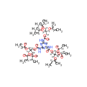 C=CC(=C)OCC(COC(=C)C=C)(COC(=C)C=C)COC(=O)Nc1nc(NC(=O)OCC(COC(=C)C=C)(COC(=O)C=C)COC(=O)C=C)nc(NC(=O)OCC(COC(=O)C=C)(COC(=O)C=C)COC(=O)C=C)n1